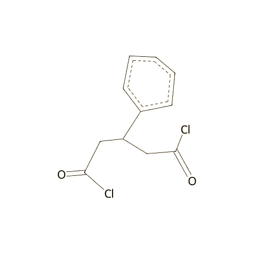 O=C(Cl)CC(CC(=O)Cl)c1ccccc1